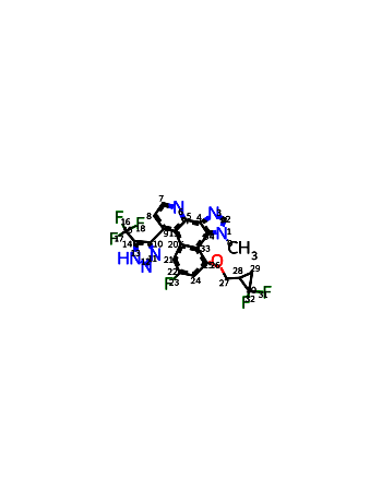 Cn1cnc2c3nccc(-c4nn[nH]c4C(F)(F)F)c3c3cc(F)cc(OCC4CC4(F)F)c3c21